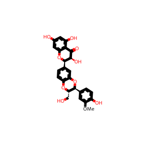 COc1cc([C@@H]2Oc3cc([C@H]4Oc5cc(O)cc(O)c5C(=O)[C@H]4O)ccc3O[C@H]2CO)ccc1O